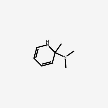 CN(C)C1(C)[C]=CC=CN1